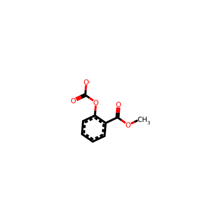 COC(=O)c1ccccc1OC([O])=O